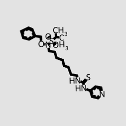 CC(C)S(=O)(=O)N(CCCCCCCCNC(=S)Nc1ccncc1)OCc1ccccc1